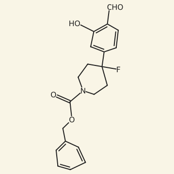 O=Cc1ccc(C2(F)CCN(C(=O)OCc3ccccc3)CC2)cc1O